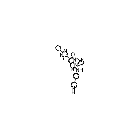 Cc1nc(C2CCCC2)ncc1-c1cc2cnc(Nc3ccc(C4=CCNCC4)cc3)nc2n(Cc2nccs2)c1=O